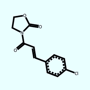 O=C(C=Cc1ccc(Cl)cc1)N1CCOC1=O